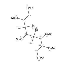 CCC(C)(C(COC)OC)C(OC)C(C)(CC)C(OC)C(COC)OC